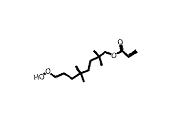 C=CC(=O)OCC(C)(C)CCC(C)(C)CCCOO